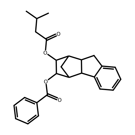 CC(C)CC(=O)OC1C2CC(C1OC(=O)c1ccccc1)C1c3ccccc3CC21